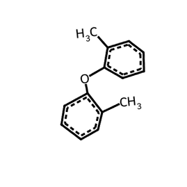 Cc1ccccc1Oc1ccccc1C